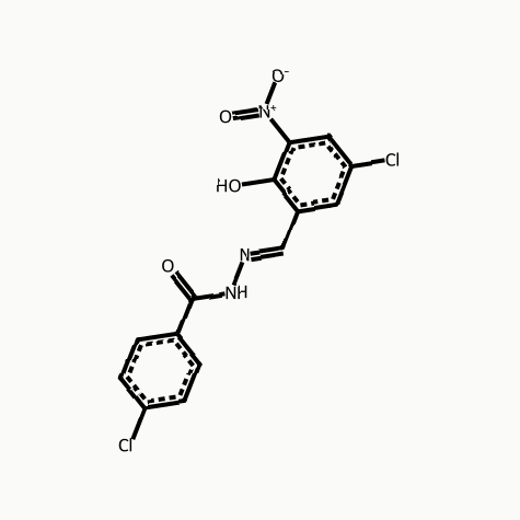 O=C(N/N=C/c1cc(Cl)cc([N+](=O)[O-])c1O)c1ccc(Cl)cc1